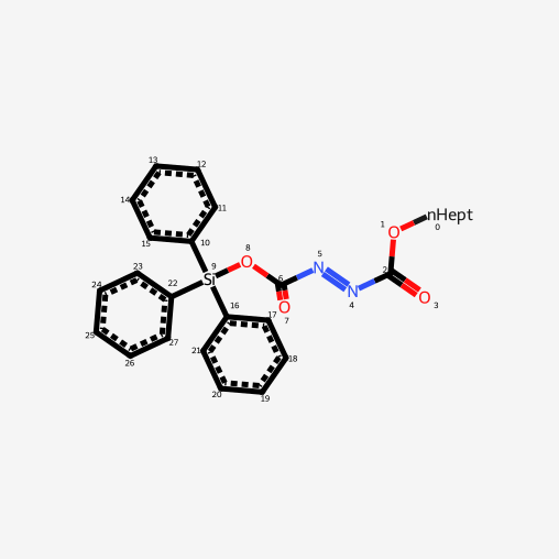 CCCCCCCOC(=O)N=NC(=O)O[Si](c1ccccc1)(c1ccccc1)c1ccccc1